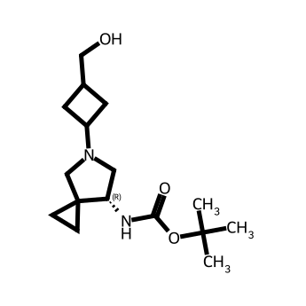 CC(C)(C)OC(=O)N[C@H]1CN(C2CC(CO)C2)CC12CC2